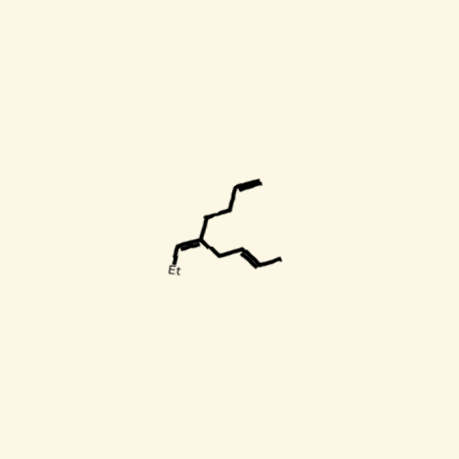 C=CCCC(=CCC)CC=CC